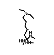 CCN(CC)CCC[CH]CC(NC)(NC)NC